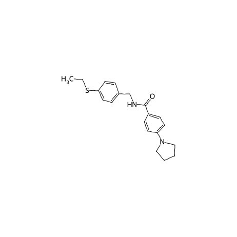 CCSc1ccc(CNC(=O)c2ccc(N3CCCC3)cc2)cc1